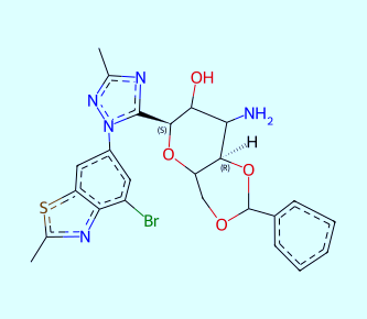 Cc1nc([C@@H]2OC3COC(c4ccccc4)O[C@@H]3C(N)C2O)n(-c2cc(Br)c3nc(C)sc3c2)n1